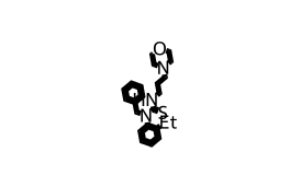 CCc1ccccc1N(Cc1ccccc1)C(=S)NCCCN1CCOCC1